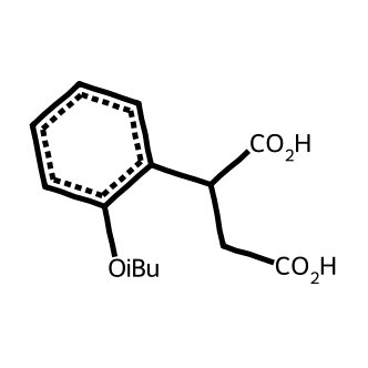 CC(C)COc1ccccc1C(CC(=O)O)C(=O)O